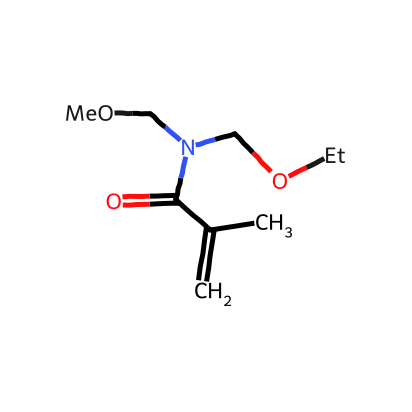 C=C(C)C(=O)N(COC)COCC